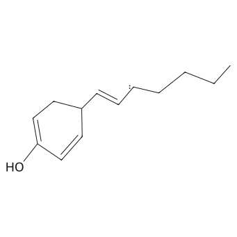 CCCC[C]C=CC1C=CC(O)=CC1